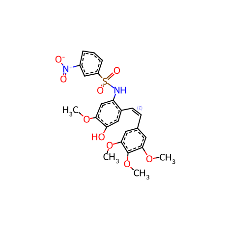 COc1cc(NS(=O)(=O)c2cccc([N+](=O)[O-])c2)c(/C=C\c2cc(OC)c(OC)c(OC)c2)cc1O